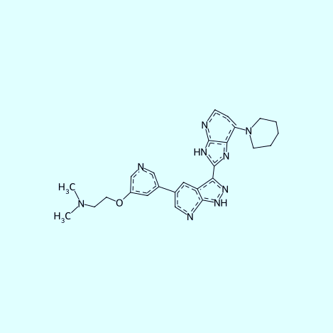 CN(C)CCOc1cncc(-c2cnc3[nH]nc(-c4nc5c(N6CCCCC6)ccnc5[nH]4)c3c2)c1